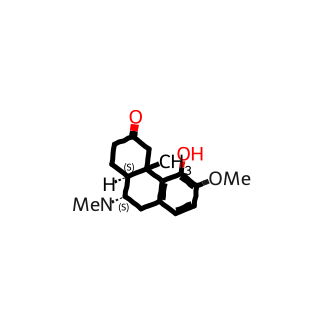 CN[C@H]1Cc2ccc(OC)c(O)c2C2(C)CC(=O)CC[C@H]12